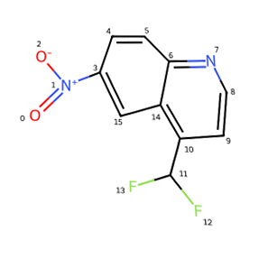 O=[N+]([O-])c1ccc2nccc(C(F)F)c2c1